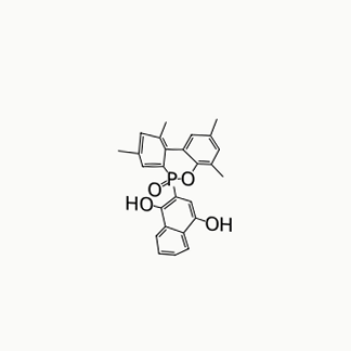 Cc1cc(C)c2c(c1)-c1c(C)cc(C)cc1P(=O)(c1cc(O)c3ccccc3c1O)O2